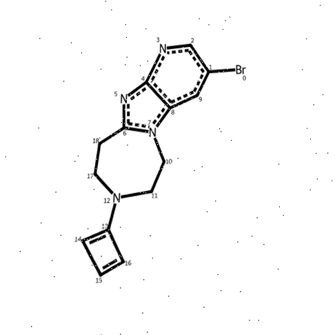 Brc1cnc2nc3n(c2c1)CCN(C1=CC=C1)CC3